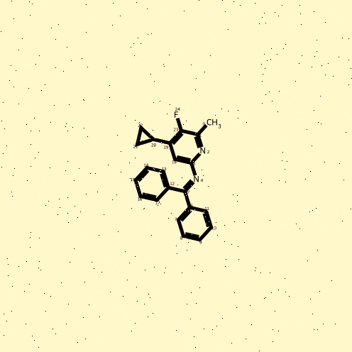 Cc1nc(N=C(c2ccccc2)c2ccccc2)cc(C2CC2)c1F